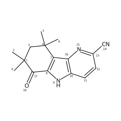 CC1(C)CC(C)(C)c2c([nH]c3ccc(C#N)nc23)C1=O